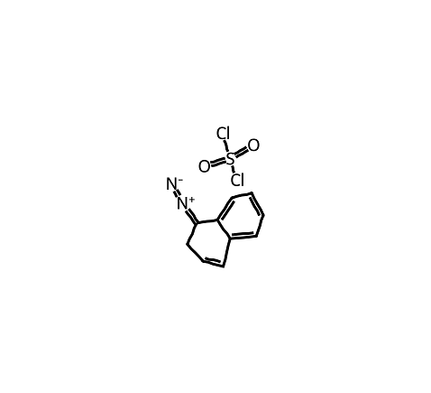 O=S(=O)(Cl)Cl.[N-]=[N+]=C1CC=Cc2ccccc21